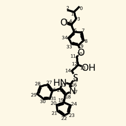 CC(C)CC(=O)c1ccc(OCC(O)CSc2nc(-c3ccccc3)c(-c3ccccc3)[nH]2)cc1